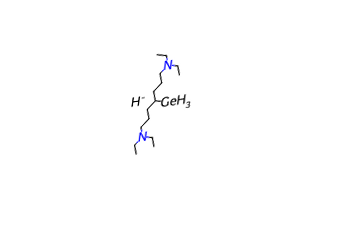 CCN(CC)CCC[CH]([GeH3])CCCN(CC)CC.[H-]